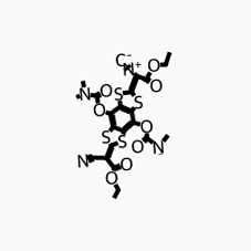 [C-]#[N+]C(C(=O)OCC)=C1Sc2c(OC(=O)N(C)C)c3c(c(OC(=O)N(C)C)c2S1)SC(=C(C#N)C(=O)OCC)S3